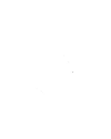 CC(C)(C)OC(=O)Nc1ccccc1NC(=O)c1cc2cc(NC(=O)CCl)ccc2s1